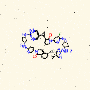 O=C(O)c1cccc2c(=O)n(-c3ccc(N[C@H]4CC[C@H](Nc5ncc(C6CC6c6cccn(-c7cnc(N[C@H]8CC[C@H](Nc9ncc(C%10CC%10)cn9)C8)c(F)c7)c6=O)cn5)C4)nc3)ccc12